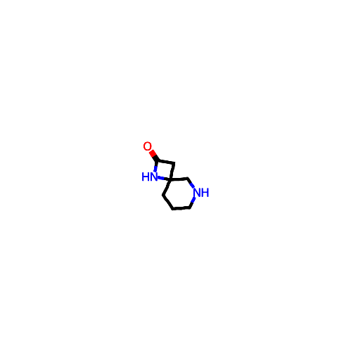 O=C1CC2(CCCNC2)N1